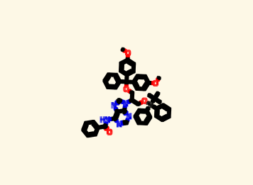 COc1ccc(C(OCC(CO[Si](c2ccccc2)(c2ccccc2)C(C)(C)C)n2cnc3c(NC(=O)c4ccccc4)ncnc32)(c2ccccc2)c2ccc(OC)cc2)cc1